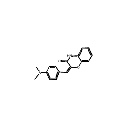 CN(C)c1ccc(C=C2Oc3ccccc3NC2=O)cc1